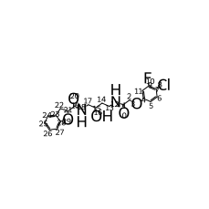 O=C(COc1ccc(Cl)c(F)c1)NCCC(O)CNC(=O)C1Cc2ccccc2O1